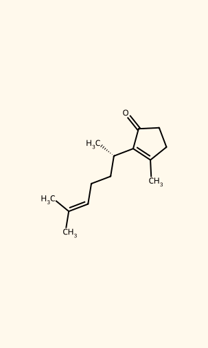 CC(C)=CCC[C@H](C)C1=C(C)CCC1=O